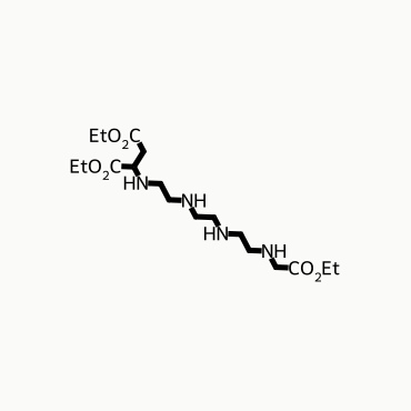 CCOC(=O)CNCCNCCNCCNC(CC(=O)OCC)C(=O)OCC